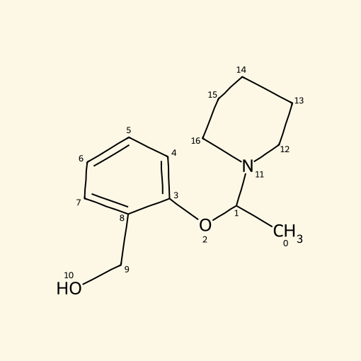 CC(Oc1ccccc1CO)N1CCCCC1